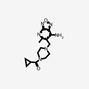 Cc1nc2nonc2c(N)c1CN1CCN(C(=O)C2CC2)CC1